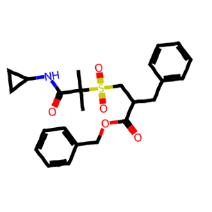 CC(C)(C(=O)NC1CC1)S(=O)(=O)CC(Cc1ccccc1)C(=O)OCc1ccccc1